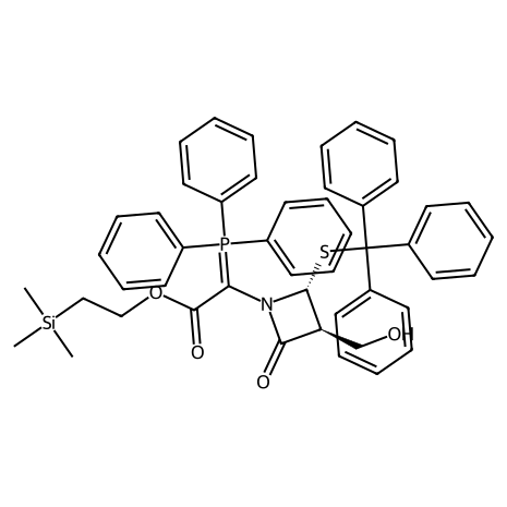 C[Si](C)(C)CCOC(=O)C(N1C(=O)[C@H](CO)[C@H]1SC(c1ccccc1)(c1ccccc1)c1ccccc1)=P(c1ccccc1)(c1ccccc1)c1ccccc1